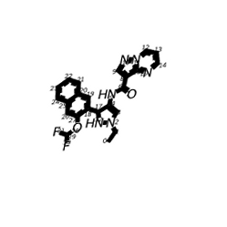 CCN1C=C(NC(=O)c2cnn3cccnc23)C(c2cc3ccccc3cc2OC(F)F)N1